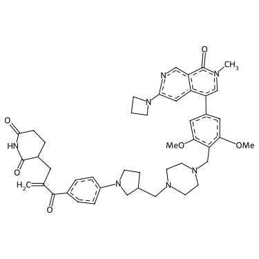 C=C(CC1CCC(=O)NC1=O)C(=O)c1ccc(N2CCC(CN3CCN(Cc4c(OC)cc(-c5cn(C)c(=O)c6cnc(N7CCC7)cc56)cc4OC)CC3)C2)cc1